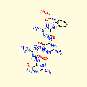 CC(NC(=O)CO)(NC(NC(=N)N)C(=O)NC(NC(=N)N)C(=O)NC(NC(=N)N)C(=O)NC(NC(=N)N)C(N)=O)c1ccccc1